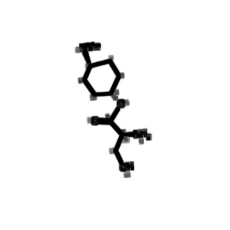 CN[C@H]1CC[C@H](OC(=O)[C@@H](N)CO)CC1